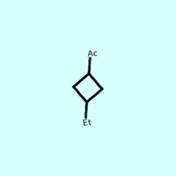 CCC1CC(C(C)=O)C1